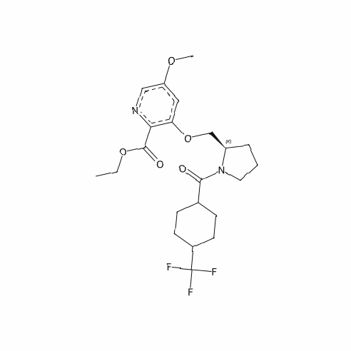 CCOC(=O)c1ncc(OC)cc1OC[C@H]1CCCN1C(=O)C1CCC(C(F)(F)F)CC1